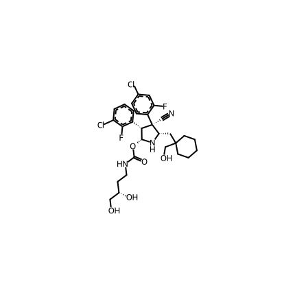 N#C[C@]1(c2ccc(Cl)cc2F)[C@H](CC2(CO)CCCCC2)N[C@H](OC(=O)NCC[C@H](O)CO)[C@@H]1c1cccc(Cl)c1F